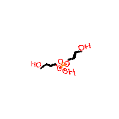 O=P(O)(OCCCCO)OCCCCO